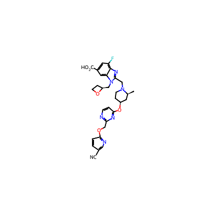 C[C@H]1C[C@@H](Oc2ccnc(COc3ccc(C#N)cn3)n2)CCN1Cc1nc2c(F)cc(C(=O)O)cc2n1C[C@@H]1CCO1